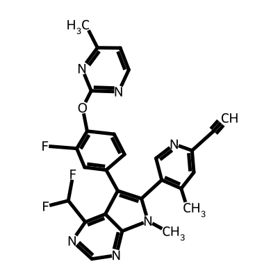 C#Cc1cc(C)c(-c2c(-c3ccc(Oc4nccc(C)n4)c(F)c3)c3c(C(F)F)ncnc3n2C)cn1